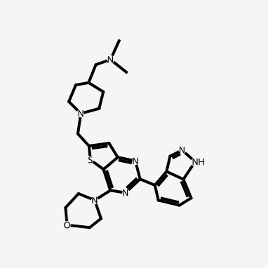 CN(C)CC1CCN(Cc2cc3nc(-c4cccc5[nH]ncc45)nc(N4CCOCC4)c3s2)CC1